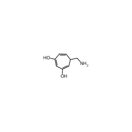 NCC1C=CC(O)=CC(O)=C1